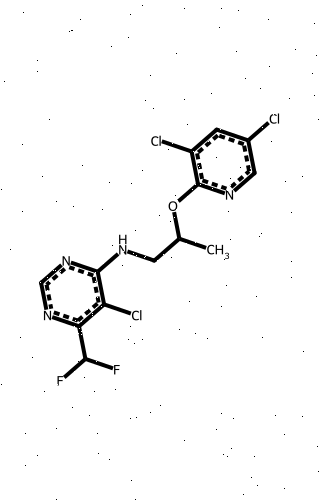 CC(CNc1ncnc(C(F)F)c1Cl)Oc1ncc(Cl)cc1Cl